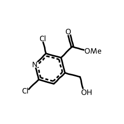 COC(=O)c1c(CO)cc(Cl)nc1Cl